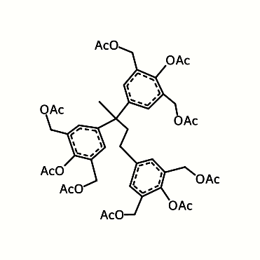 CC(=O)OCc1cc(CCC(C)(c2cc(COC(C)=O)c(OC(C)=O)c(COC(C)=O)c2)c2cc(COC(C)=O)c(OC(C)=O)c(COC(C)=O)c2)cc(COC(C)=O)c1OC(C)=O